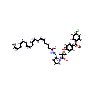 CC/C=C\C/C=C\C/C=C\C/C=C\C/C=C\CCCC(=O)NC[C@@H]1CCCN1C(=O)C(C)(C)Oc1ccc(C(=O)c2ccc(Cl)cc2)cc1